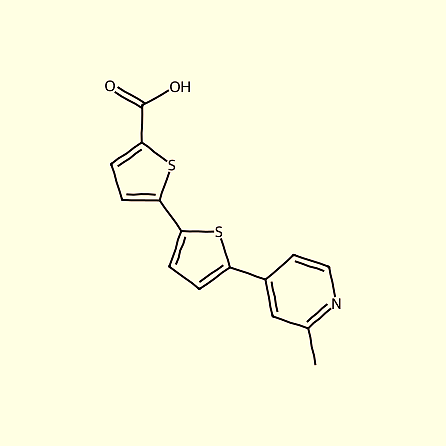 Cc1cc(-c2ccc(-c3ccc(C(=O)O)s3)s2)ccn1